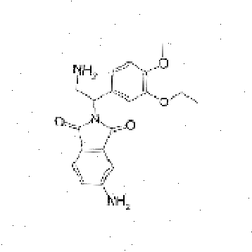 CCOc1cc(C(CN)N2C(=O)c3ccc(N)cc3C2=O)ccc1OC